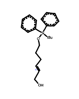 CC(C)(C)[Si](OCCC/C=C/CO)(c1ccccc1)c1ccccc1